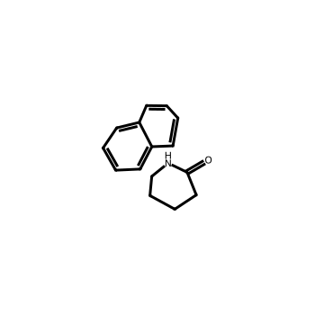 O=C1CCCCN1.c1ccc2ccccc2c1